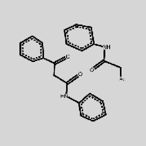 CC(=O)CC(=O)Nc1ccccc1.O=C(CC(=O)c1ccccc1)Nc1ccccc1